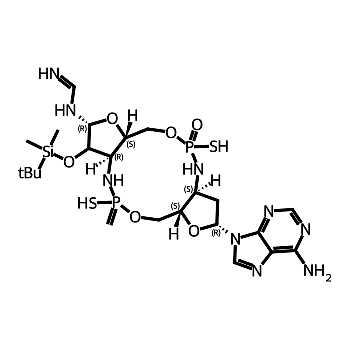 C=P1(S)N[C@H]2C(O[Si](C)(C)C(C)(C)C)[C@H](NC=N)O[C@@H]2COP(=O)(S)N[C@H]2C[C@H](n3cnc4c(N)ncnc43)O[C@@H]2CO1